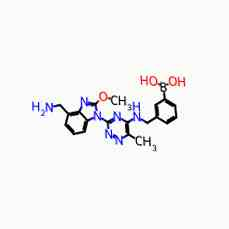 COc1nc2c(CN)cccc2n1-c1nnc(C)c(NCc2cccc(B(O)O)c2)n1